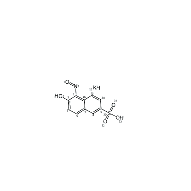 O=Nc1c(O)ccc2cc(S(=O)(=O)O)ccc12.[KH]